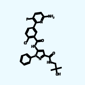 CC(C)(O)CNC(=O)c1cc(NC(=O)c2cc(-c3nc(N)ccc3F)ccc2Cl)n(-c2ccccc2)n1